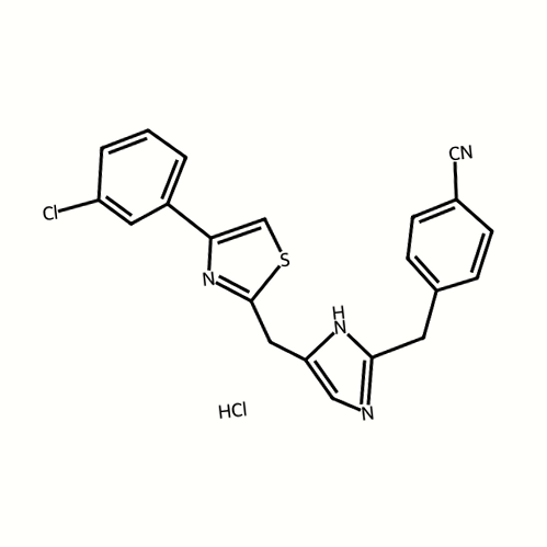 Cl.N#Cc1ccc(Cc2ncc(Cc3nc(-c4cccc(Cl)c4)cs3)[nH]2)cc1